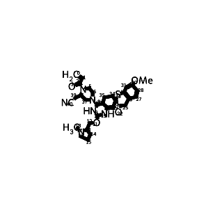 C=CC(=O)N1CCN(C2NC(OCC3CCCN3C)NC3C(=O)[C@@]4(CCc5ccc(OC)cc5S4)CCC32)CC1CC#N